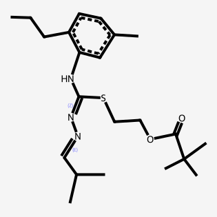 CCCc1ccc(C)cc1N/C(=N/N=C/C(C)C)SCCOC(=O)C(C)(C)C